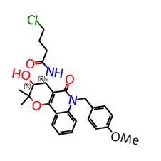 COc1ccc(Cn2c(=O)c3c(c4ccccc42)OC(C)(C)[C@@H](O)[C@@H]3NC(=O)CCCCl)cc1